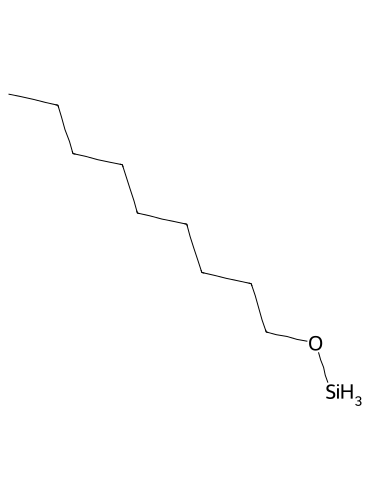 CCCCCCCCCO[SiH3]